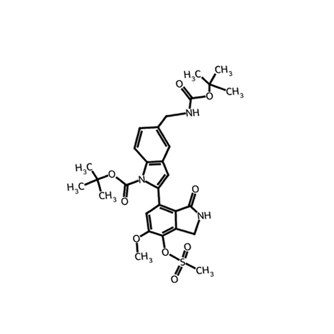 COc1cc(-c2cc3cc(CNC(=O)OC(C)(C)C)ccc3n2C(=O)OC(C)(C)C)c2c(c1OS(C)(=O)=O)CNC2=O